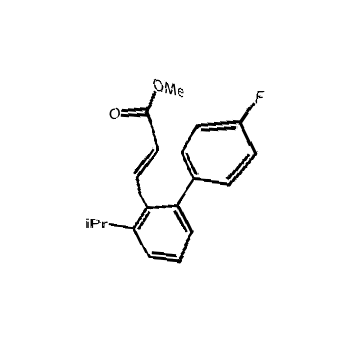 COC(=O)/C=C/c1c(-c2ccc(F)cc2)cccc1C(C)C